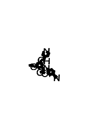 CCOc1cc(OCc2ccncc2)cc(C(Nc2ccc(C#N)cc2)C(=O)O)c1